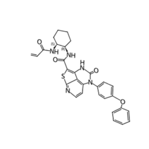 C=CC(=O)N[C@H]1CCCC[C@H]1NC(=O)c1sc2nccc3c2c1NC(=O)N3c1ccc(Oc2ccccc2)cc1